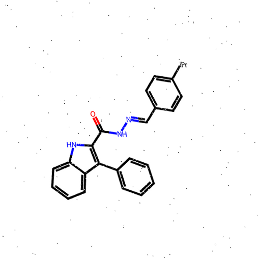 CC(C)c1ccc(C=NNC(=O)c2[nH]c3ccccc3c2-c2ccccc2)cc1